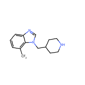 FC(F)(F)c1cccc2ncn(CC3CCNCC3)c12